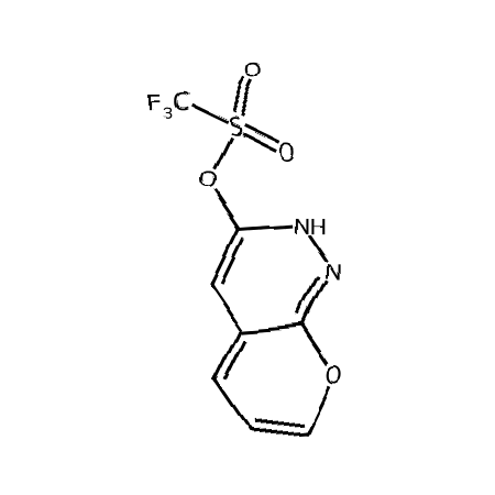 O=S(=O)(OC1=CC2=CC=COC2=NN1)C(F)(F)F